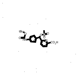 CC(C)(C)OC(=O)Nc1ccc(C(OS(C)(=O)=O)c2cccc(C(=O)O)n2)cc1